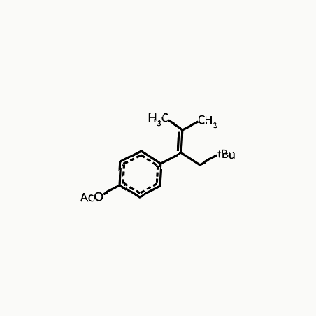 CC(=O)Oc1ccc(C(CC(C)(C)C)=C(C)C)cc1